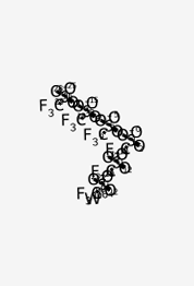 O=S(=O)([O-])C(F)(F)F.O=S(=O)([O-])C(F)(F)F.O=S(=O)([O-])C(F)(F)F.O=S(=O)([O-])C(F)(F)F.O=S(=O)([O-])C(F)(F)F.O=S(=O)([O-])C(F)(F)F.[W+6]